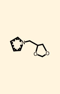 c1ccn(CC2COCO2)c1